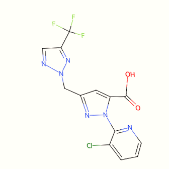 O=C(O)c1cc(Cn2ncc(C(F)(F)F)n2)nn1-c1ncccc1Cl